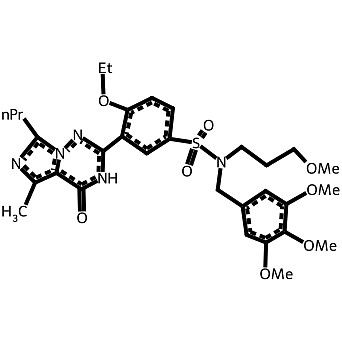 CCCc1nc(C)c2c(=O)[nH]c(-c3cc(S(=O)(=O)N(CCCOC)Cc4cc(OC)c(OC)c(OC)c4)ccc3OCC)nn12